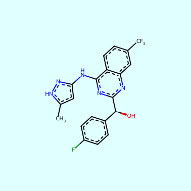 Cc1cc(Nc2nc([C@@H](O)c3ccc(F)cc3)nc3cc(C(F)(F)F)ccc23)n[nH]1